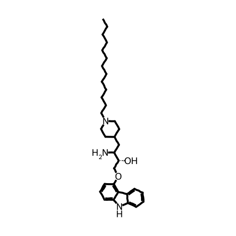 CCCCCCCCCCCCCN1CCC(CC(N)[C@H](O)COc2cccc3[nH]c4ccccc4c23)CC1